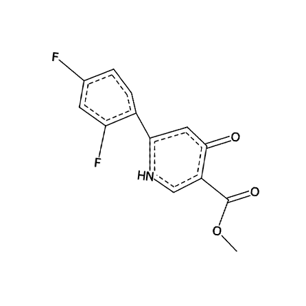 COC(=O)c1c[nH]c(-c2ccc(F)cc2F)cc1=O